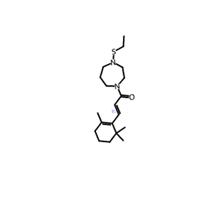 CCSN1CCCN(C(=O)/C=C/C2=C(C)CCCC2(C)C)CC1